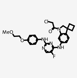 COCCOc1ccc(Nc2ncc(F)c(Nc3ccc4c(c3)N(C(=O)CCl)CC43CCC3)n2)cc1